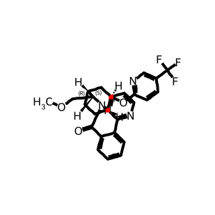 COC[C@@H]1[C@@H]2CC[C@@H]([C@H](Oc3ccc(C(F)(F)F)cn3)C2)N1C(=O)c1ccccc1-c1ncccn1